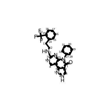 O=c1c2c[nH]nc2c2cnc(NCCc3ccccc3C(F)(F)F)nc2n1-c1ccccc1